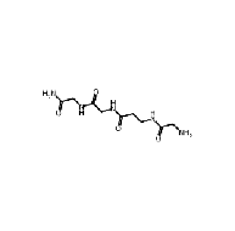 NCC(=O)NCCC(=O)NCC(=O)NCC(N)=O